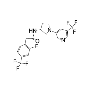 O=C(Cc1ccc(C(F)(F)F)cc1F)NC1CCN(c2cncc(C(F)(F)F)c2)C1